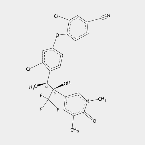 Cc1cc([C@@](O)([C@@H](C)c2ccc(Oc3ccc(C#N)cc3Cl)cc2Cl)C(F)(F)F)cn(C)c1=O